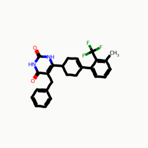 Cc1cccc(C2=CCC(c3[nH]c(=O)[nH]c(=O)c3Cc3ccccc3)CC2)c1C(F)(F)F